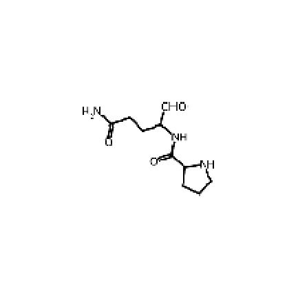 NC(=O)CCC([C]=O)NC(=O)C1CCCN1